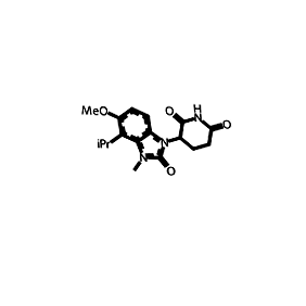 COc1ccc2c(c1C(C)C)n(C)c(=O)n2C1CCC(=O)NC1=O